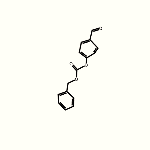 O=Cc1ccc(OC(=O)OCc2ccccc2)cc1